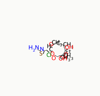 CCC1C(=O)C(C)(C)[C@@H](O)CC(=O)O[C@H](C(Cl)=Cc2csc(CN)n2)C[C@@H]2O[C@]2(C)CCC[C@H](C)C1O